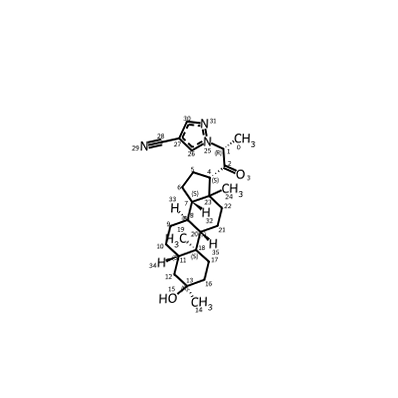 C[C@H](C(=O)[C@H]1CC[C@H]2[C@@H]3CC[C@H]4C[C@](C)(O)CC[C@]4(C)[C@H]3CCC12C)n1cc(C#N)cn1